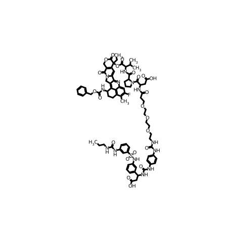 CCCNC(=O)Nc1cccc(S(=O)(=O)Nc2cccc(C(CC(=O)O)NC(=O)Nc3ccc(NC(=O)NCCOCCOCCOCCC(=O)NC(CC(=O)O)C(=O)N4CCCC4C(=O)NC(C(=O)OC4(CC)C(=O)OCc5c4cc4n(c5=O)Cc5c-4nc4cc(F)c(C)c6c4c5C(NC(=O)OCc4ccccc4)CC6)C(C)C)cc3)c2)c1